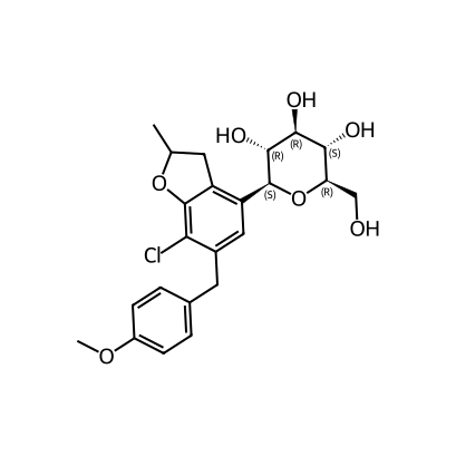 COc1ccc(Cc2cc([C@@H]3O[C@H](CO)[C@@H](O)[C@H](O)[C@H]3O)c3c(c2Cl)OC(C)C3)cc1